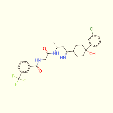 C[C@H](CC(=N)C1CCC(O)(c2cccc(Cl)c2)CC1)NC(=O)CNC(=O)c1cccc(C(F)(F)F)c1